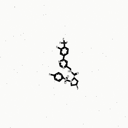 O=C(NCc1cc(-c2ccc(C(F)(F)F)c(F)c2)ncn1)[C@@H]1C[C@@H](F)CN1S(=O)(=O)c1ccc(F)cc1